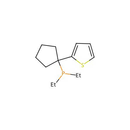 CCP(CC)C1(c2cccs2)CCCC1